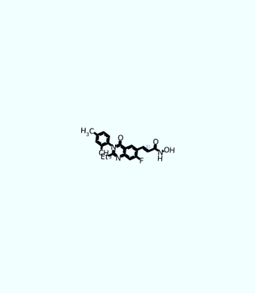 CCc1nc2cc(F)c(/C=C/C(=O)NO)cc2c(=O)n1-c1ccc(C)cc1C